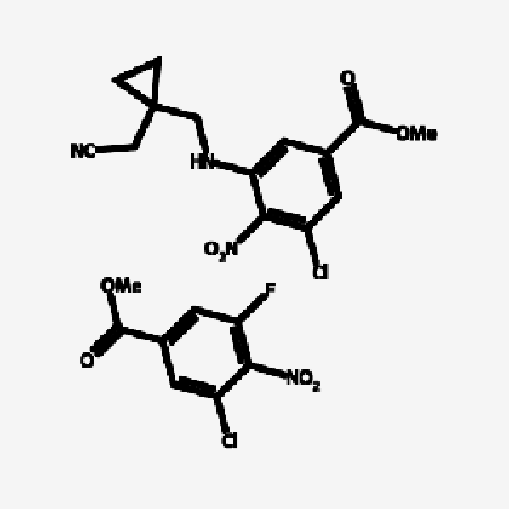 COC(=O)c1cc(Cl)c([N+](=O)[O-])c(NCC2(CC#N)CC2)c1.COC(=O)c1cc(F)c([N+](=O)[O-])c(Cl)c1